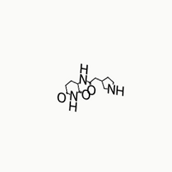 O=C1CCC(NC(=O)CC2CCNC2)C(=O)N1